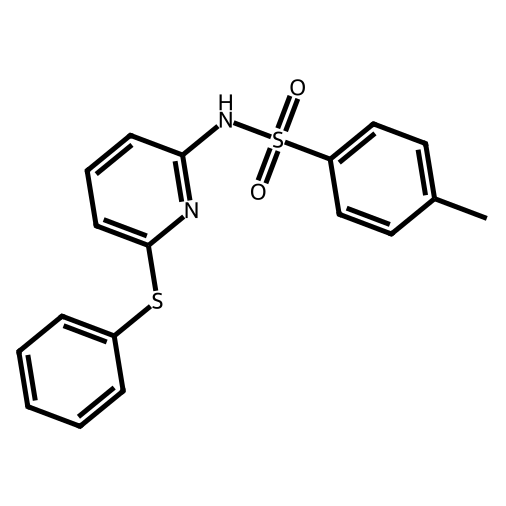 Cc1ccc(S(=O)(=O)Nc2cccc(Sc3ccccc3)n2)cc1